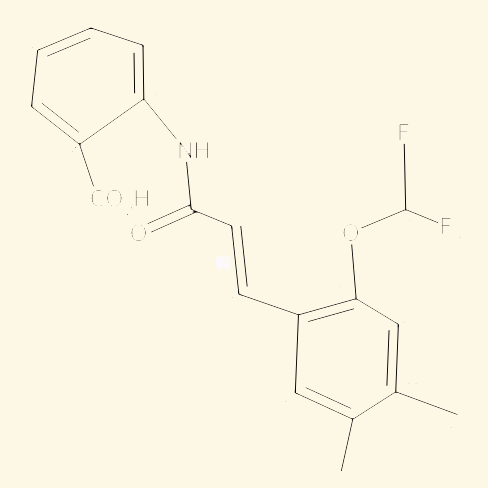 Cc1cc(/C=C/C(=O)Nc2ccccc2C(=O)O)c(OC(F)F)cc1C